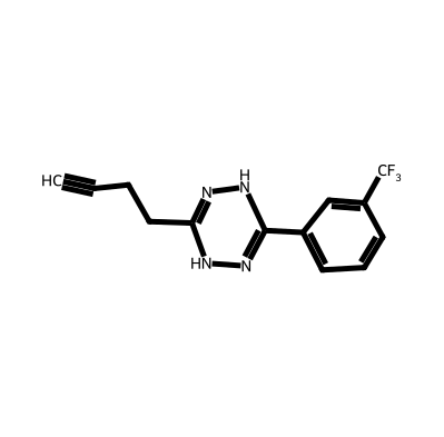 C#CCCC1=NNC(c2cccc(C(F)(F)F)c2)=NN1